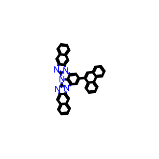 c1ccc2cc3c(cc2c1)nc1n3c2cc(-c3cc4ccccc4c4ccccc34)cc3c2n1c1nc2cc4ccccc4cc2n31